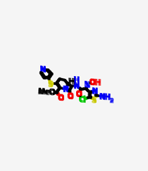 COC(=O)C1=C(Sc2ccncc2)CC[C@@H]2[C@H](NC(=O)C(=NO)c3nc(N)sc3Cl)C(=O)N12